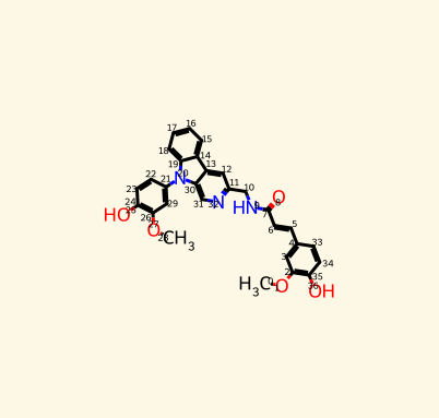 COc1cc(/C=C/C(=O)NCc2cc3c4ccccc4n(-c4ccc(O)c(OC)c4)c3cn2)ccc1O